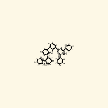 c1ccc(C2=NC(c3cccc4c3oc3c(-c5cccc6sc7ccccc7c56)cccc34)=NC(c3ccccc3)N2)cc1